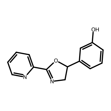 Oc1cccc(C2CN=C(c3ccccn3)O2)c1